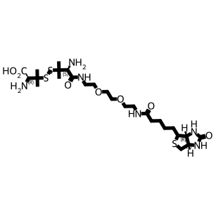 CC(C)(SSC(C)(C)[C@@H](N)C(=O)NCCOCCOCCNC(=O)CCCCC1SC[C@H]2NC(=O)N[C@@H]12)[C@H](N)C(=O)O